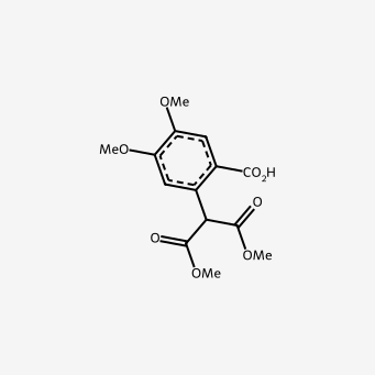 COC(=O)C(C(=O)OC)c1cc(OC)c(OC)cc1C(=O)O